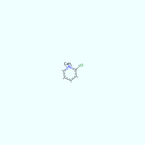 Clc1ccccn1.[CaH2]